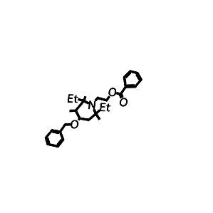 CCC1(C)CC(OCc2ccccc2)C(C)C(C)(CC)N1CCOC(=O)c1ccccc1